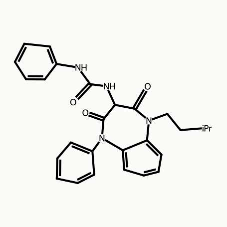 CC(C)CCN1C(=O)C(NC(=O)Nc2ccccc2)C(=O)N(c2ccccc2)c2ccccc21